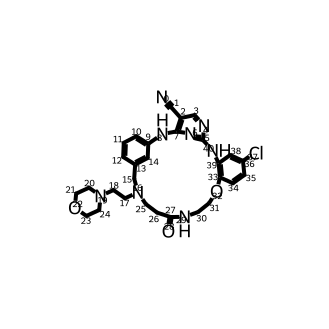 N#Cc1cnc2nc1Nc1cccc(c1)CN(CCN1CCOCC1)CCC(=O)NCCOc1ccc(Cl)cc1N2